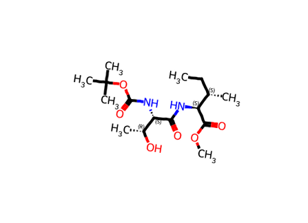 CC[C@H](C)[C@H](NC(=O)[C@@H](NC(=O)OC(C)(C)C)[C@@H](C)O)C(=O)OC